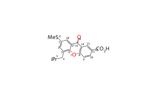 CSc1cc(CC(C)C)c2oc3ccc(C(=O)O)cc3c(=O)c2c1